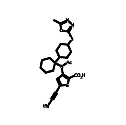 CC(=O)N(c1cc(C#CC(C)(C)C)sc1C(=O)O)C1(C2CCC(Sc3nnc(C)o3)CC2)CCCCC1